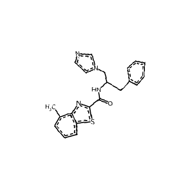 Cc1cccc2sc(C(=O)NC(Cc3ccccc3)Cn3ccnc3)nc12